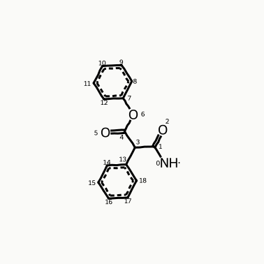 [NH]C(=O)C(C(=O)Oc1ccccc1)c1ccccc1